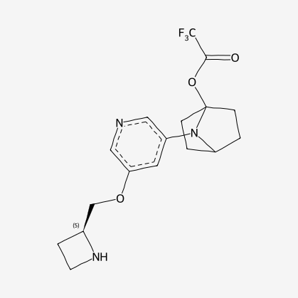 O=C(OC12CCC(CC1)N2c1cncc(OC[C@@H]2CCN2)c1)C(F)(F)F